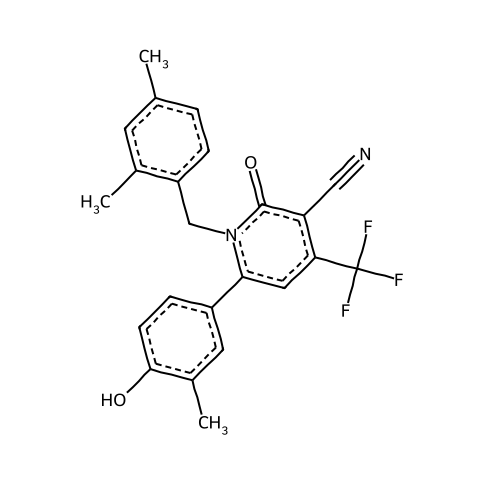 Cc1ccc(Cn2c(-c3ccc(O)c(C)c3)cc(C(F)(F)F)c(C#N)c2=O)c(C)c1